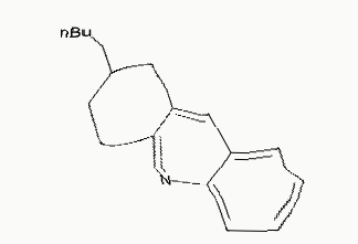 CCCCC1CCc2nc3ccccc3cc2C1